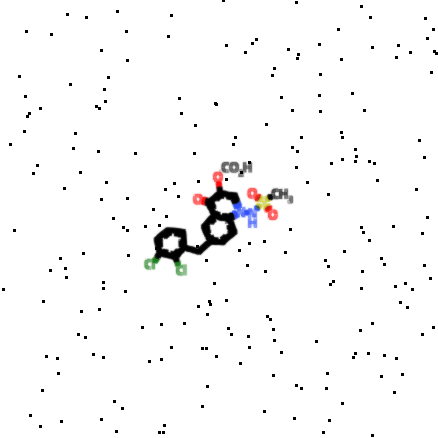 CS(=O)(=O)Nn1cc(OC(=O)O)c(=O)c2cc(Cc3cccc(Cl)c3Cl)ccc21